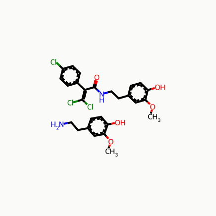 COc1cc(CCN)ccc1O.COc1cc(CCNC(=O)C(=C(Cl)Cl)c2ccc(Cl)cc2)ccc1O